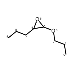 CCCOC1OC1CCC